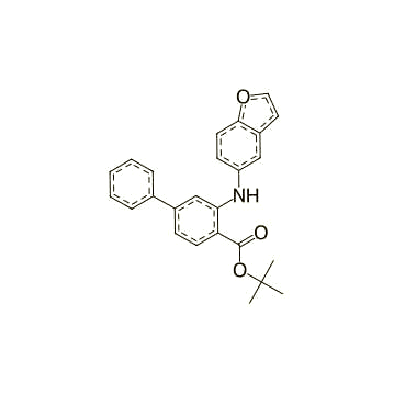 CC(C)(C)OC(=O)c1ccc(-c2ccccc2)cc1Nc1ccc2occc2c1